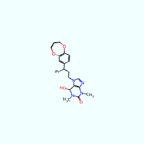 CC(C)C(CCn1cnc2c1C(O)N(C)C(=O)N2C)c1ccc2c(c1)OCCCO2